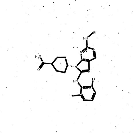 CC(C)Nc1ncc2nc(Nc3c(Cl)cccc3Cl)n([C@H]3CC[C@H](C(N)=O)CC3)c2n1